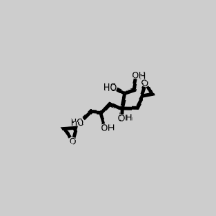 C1CO1.OCC(O)CC(O)(CC1CO1)C(O)CO